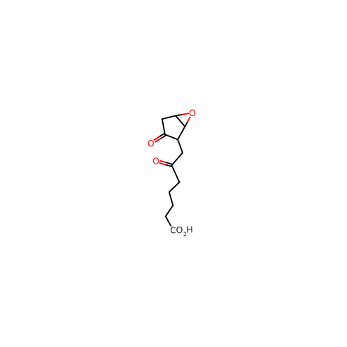 O=C(O)CCCCC(=O)CC1C(=O)CC2OC21